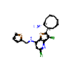 N[C@@H]1CCCCCC[C@H]1c1sc2c(NCc3cccs3)cc(Cl)nc2c1Br